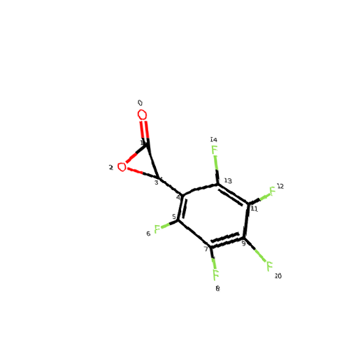 O=C1O[C]1c1c(F)c(F)c(F)c(F)c1F